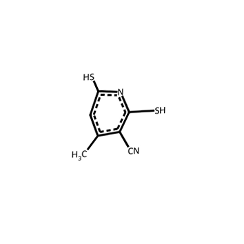 Cc1cc(S)nc(S)c1C#N